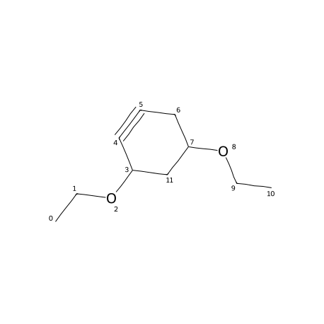 CCOC1C#CCC(OCC)C1